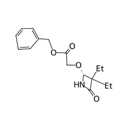 CCC1(CC)C(=O)N[C@@H]1OCC(=O)OCc1ccccc1